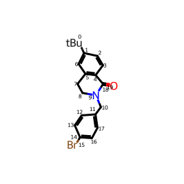 CC(C)(C)c1ccc2c(c1)CCN(Cc1ccc(Br)cc1)C2=O